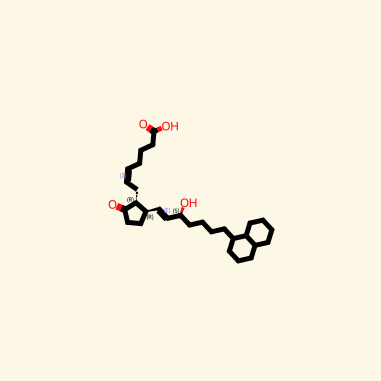 O=C(O)CCC/C=C\C[C@H]1C(=O)CC[C@@H]1/C=C/[C@@H](O)CCCCC1CCCC2CCCCC21